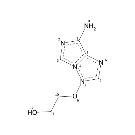 Nc1ncn2c1ncn2OCCO